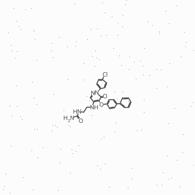 NC(=O)NCCNc1cnn(-c2ccc(Cl)cc2)c(=O)c1Oc1ccc(-c2ccccc2)cc1